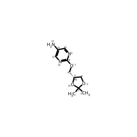 CC1(C)OC[C@@H](COc2ncc(N)cn2)O1